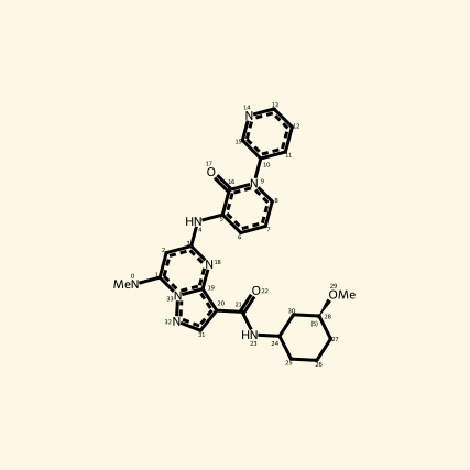 CNc1cc(Nc2cccn(-c3cccnc3)c2=O)nc2c(C(=O)NC3CCC[C@H](OC)C3)cnn12